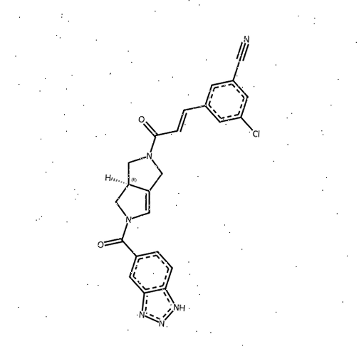 N#Cc1cc(Cl)cc(C=CC(=O)N2CC3=CN(C(=O)c4ccc5[nH]nnc5c4)C[C@H]3C2)c1